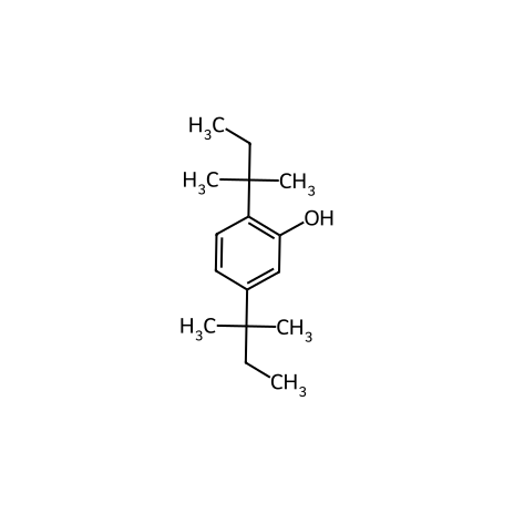 CCC(C)(C)c1ccc(C(C)(C)CC)c(O)c1